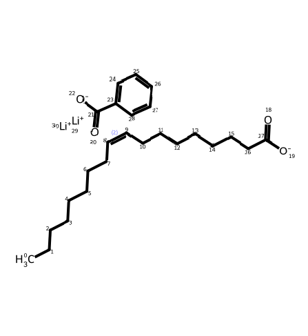 CCCCCCCC/C=C\CCCCCCCC(=O)[O-].O=C([O-])c1ccccc1.[Li+].[Li+]